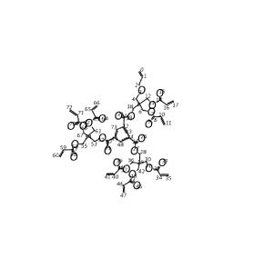 C=CCOCC(COC(=O)C=C)(COC(=O)C=C)COC(=O)c1cc(C(=O)OCC(COC(=O)C=C)(COC(=O)C=C)COC(=O)C=C)cc(C(=O)OCC(COC(=O)C=C)(COC(=O)C=C)COC(=O)C=C)c1